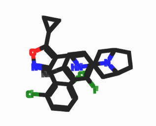 N#Cc1ccc(N2C3CCC2CC(NCc2c(-c4c(Cl)cccc4Cl)noc2C2CC2)C3)c(F)c1